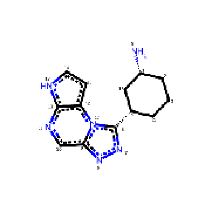 N[C@@H]1CCC[C@H](c2nnc3cnc4[nH]ccc4n23)C1